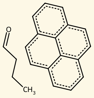 CCCC=O.c1cc2ccc3cccc4ccc(c1)c2c34